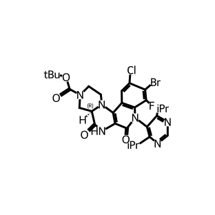 CC(C)c1ncnc(C(C)C)c1-n1c(=O)c2c(c3cc(Cl)c(Br)c(F)c31)N1CCN(C(=O)OC(C)(C)C)C[C@@H]1C(=O)N2